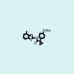 COc1ccc(C2(C(=O)Nc3nc4c(C)cccc4s3)CC2)cc1